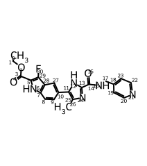 CCOC(=O)c1[nH]c2ccc(-c3[nH]c(C(=O)NCc4ccncc4)nc3C)cc2c1F